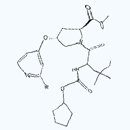 COC(=O)[C@@H]1C[C@@H](Oc2ccnc(Br)c2)CN1C(=O)C(NC(=O)OC1CCCC1)C(C)(C)C